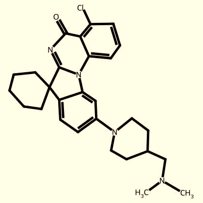 CN(C)CC1CCN(c2ccc3c(c2)-n2c(nc(=O)c4c(Cl)cccc42)C32CCCCC2)CC1